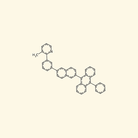 Cc1cccnc1-c1cccc(-c2ccc3cc(-c4c5ccccc5c(-c5ccccc5)c5ccccc45)ccc3c2)c1